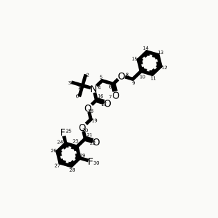 CC(C)(C)N(CC(=O)OCc1ccccc1)C(=O)OCOC(=O)c1c(F)cccc1F